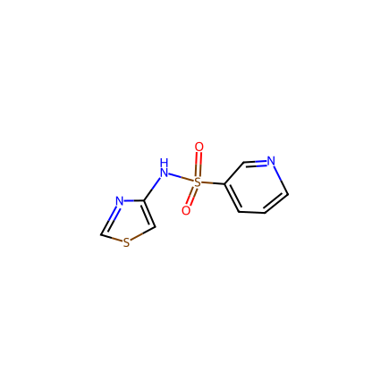 O=S(=O)(Nc1cscn1)c1cccnc1